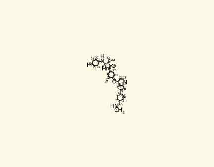 CNCc1ccc(-c2cc3nccc(Oc4ccc(NC(=O)C5(C(=O)Nc6ccc(F)cc6)CC5)cc4F)c3s2)nc1